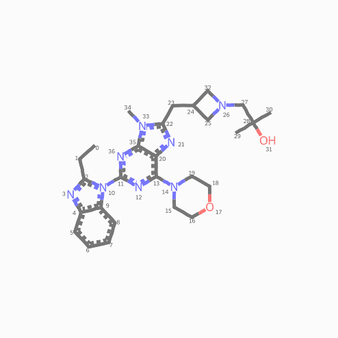 CCc1nc2ccccc2n1-c1nc(N2CCOCC2)c2nc(CC3CN(CC(C)(C)O)C3)n(C)c2n1